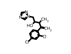 C=C(c1ccc(Cl)cc1Cl)C(C)C(O)Cn1cncn1